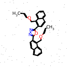 CC=COCc1c(-c2nnc(-c3ccc4ccccc4c3COC=CC)o2)ccc2ccccc12